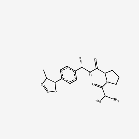 CC1N=CSC1c1ccc([C@H](F)NC(=O)C2CCCN2C(=O)C(N)C(C)(C)C)cc1